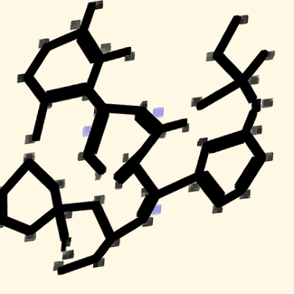 C=C(/C(C)=C\C(=C/C)C1=C(C)CCC(C)=C1C)/C(=C\C(CC)CC1(F)CCCCC1)c1cccc(SC(C)(C)CC)c1